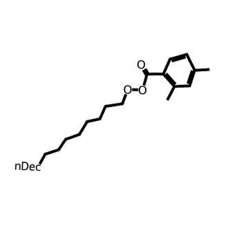 [CH2]CCCCCCCCCCCCCCCCCOOC(=O)c1ccc(C)cc1C